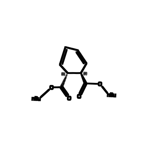 CCCCOC(=O)[C@@H]1C=CC=C[C@H]1C(=O)OCCCC